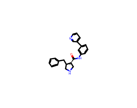 O=C(Nc1cccc(-c2cccnc2)c1)[C@H]1CNCC1Cc1ccccc1